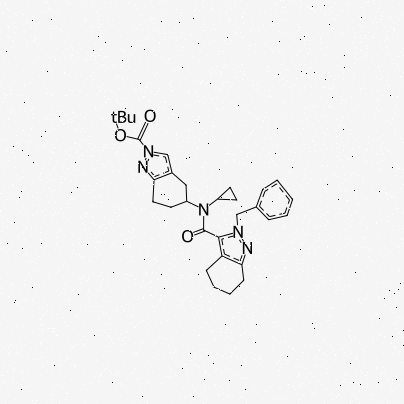 CC(C)(C)OC(=O)n1cc2c(n1)CCC(N(C(=O)c1c3c(nn1Cc1ccccc1)CCCC3)C1CC1)C2